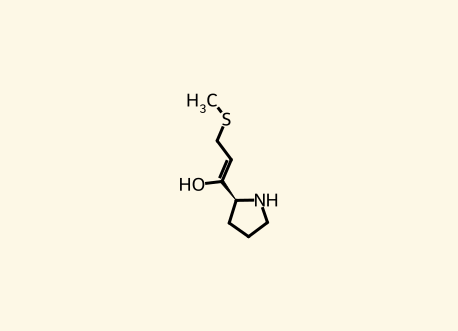 CSCC=C(O)[C@@H]1CCCN1